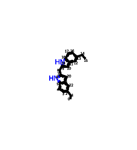 CCc1ccc2[nH]c(Cc3cc4cc(CC)ccc4[nH]3)cc2c1